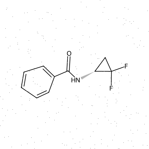 O=C(N[C@@H]1CC1(F)F)c1ccccc1